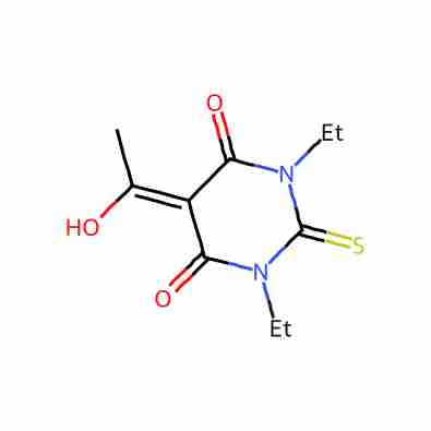 CCN1C(=O)C(=C(C)O)C(=O)N(CC)C1=S